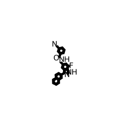 N#Cc1cccc(C(=O)NCc2cc(F)c3[nH]nc(-c4ccc5ccccc5c4)c3c2)c1